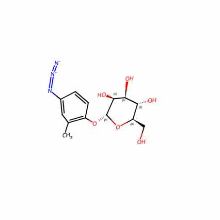 Cc1cc(N=[N+]=[N-])ccc1O[C@H]1O[C@H](CO)[C@@H](O)[C@H](O)[C@@H]1O